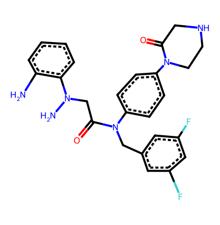 Nc1ccccc1N(N)CC(=O)N(Cc1cc(F)cc(F)c1)c1ccc(N2CCNCC2=O)cc1